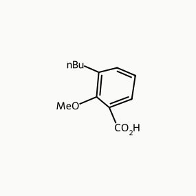 CCCCc1cccc(C(=O)O)c1OC